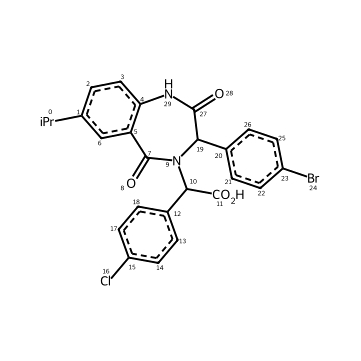 CC(C)c1ccc2c(c1)C(=O)N(C(C(=O)O)c1ccc(Cl)cc1)C(c1ccc(Br)cc1)C(=O)N2